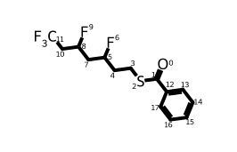 O=C(SCCC(F)CC(F)CC(F)(F)F)c1ccccc1